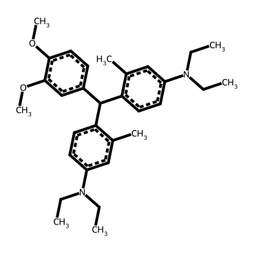 CCN(CC)c1ccc(C(c2ccc(OC)c(OC)c2)c2ccc(N(CC)CC)cc2C)c(C)c1